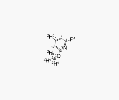 [2H]c1cc(F)nc(OC([2H])([2H])[2H])c1